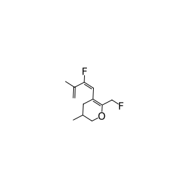 C=C(C)/C(F)=C\C1=C(CF)OCC(C)C1